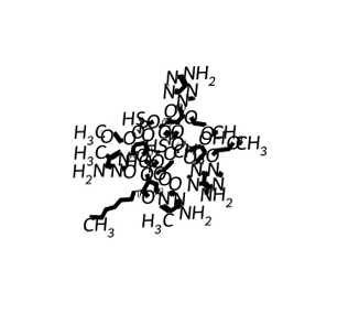 CCCCCCCC[C@H]1O[C@@H](n2cc(C)c(N)nc2=O)C(OCCOC)C1OP(=O)(O)OC[C@H]1O[C@@H](n2cc(C)c(N)nc2=O)C(OCCOC)C1OP(=O)(S)OC[C@H]1O[C@@H](n2cnc3c(N)ncnc32)C(OCCOC)C1OP(=O)(S)OC[C@H]1O[C@@H](n2cnc3c(N)ncnc32)C(OCCOC)C1O